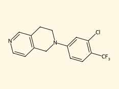 FC(F)(F)c1ccc(N2CCc3cnccc3C2)cc1Cl